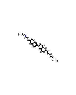 C/C=C/CCc1ccc2cc(C3CCC4CC(CCCCCC)CCC4C3)ccc2c1